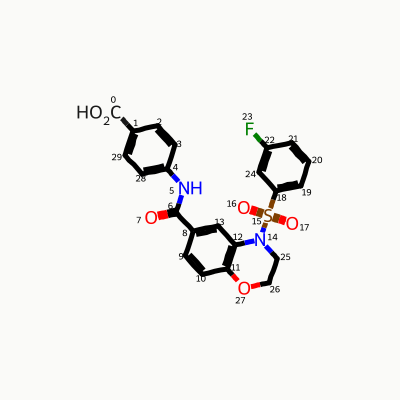 O=C(O)c1ccc(NC(=O)c2ccc3c(c2)N(S(=O)(=O)c2cccc(F)c2)CCO3)cc1